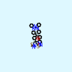 c1ccc([Si](c2ccccc2)(c2cccc(-n3c4ccccc4n4c5ccccc5nc34)c2)c2cccc3c2Oc2ccccc2C3(Cc2nncs2)Cc2nncs2)cc1